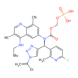 C=C(CC)n1cc([C@H](c2ccc(F)nc2C)N(C(=O)OCOP(=O)(O)O)c2cc(C#N)c3ncc(C#N)c(NCC(C)(C)C)c3c2)nn1